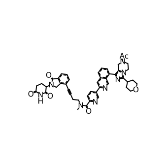 CC(=O)N1CCn2c(C3CCOCC3)nc(-c3cccc4cc(-c5ccc(C(=O)N(C)CCC#Cc6cccc7c6CN(C6CCC(=O)NC6=O)C7=O)nc5)ncc34)c2C1